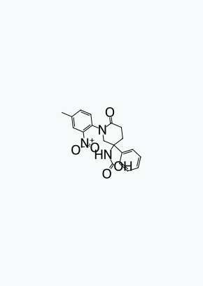 Cc1ccc(N2CC(NC(=O)O)(c3ccccc3)CCC2=O)c([N+](=O)[O-])c1